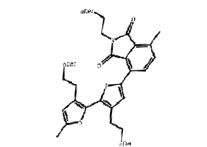 CCCCCCCCCCCCc1cc(C)sc1-c1sc(-c2ccc(C)c3c2C(=O)N(CCCCCCCCCCCC)C3=O)cc1CCCCCCCCCCCC